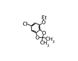 CCOc1cc(Cl)cc2c1OC(C)(C)O2